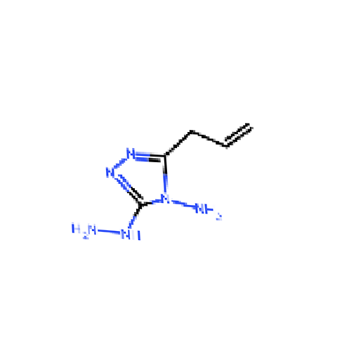 C=CCc1nnc(NN)n1N